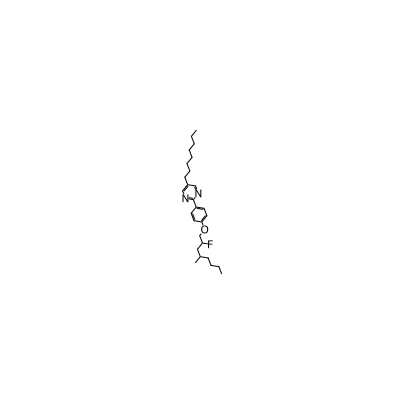 CCCCCCCCc1cnc(-c2ccc(OCC(F)CC(C)CCCC)cc2)nc1